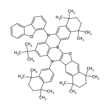 CC1(C)CCC(C)(C)C2=CC3C4=C(OC3C=C21)B1c2cc3c(cc2N(c2cccc5c2oc2ccccc25)c2cc(C(C)(C)C)cc(c21)N4c1ccc2c(c1)C(C)(C)CCC2(C)C)C(C)(C)CCC3(C)C